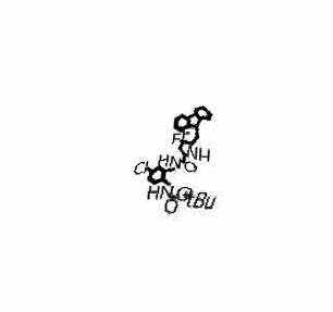 CC(C)(C)OC(=O)NCc1ccc(Cl)cc1CNC(=O)C1CC(F)(F)C(CC2c3ccccc3-c3ccccc32)N1